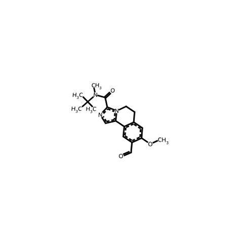 COc1cc2c(cc1C=O)-c1cnc(C(=O)N(C)C(C)(C)C)n1CC2